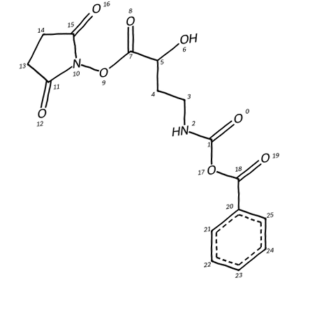 O=C(NCCC(O)C(=O)ON1C(=O)CCC1=O)OC(=O)c1ccccc1